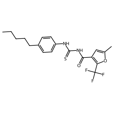 CCCCCc1ccc(NC(=S)NC(=O)c2cc(C)oc2C(F)(F)F)cc1